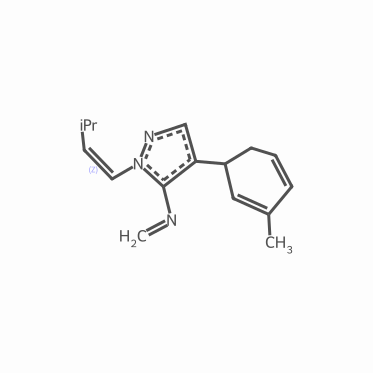 C=Nc1c(C2C=C(C)C=CC2)cnn1/C=C\C(C)C